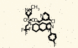 Cn1cc(S(=O)(=O)N(CC(F)(F)F)[C@H]2CCC3=Cc4c(cnn4-c4ccc(F)cc4)C[C@]3(C(=O)c3cc(Cl)ccn3)C2)cn1